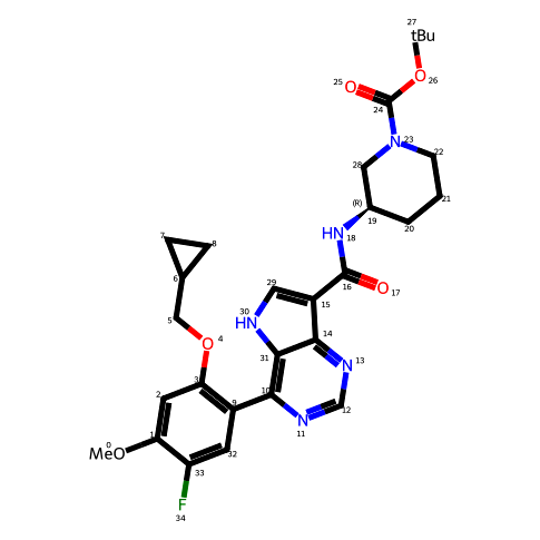 COc1cc(OCC2CC2)c(-c2ncnc3c(C(=O)N[C@@H]4CCCN(C(=O)OC(C)(C)C)C4)c[nH]c23)cc1F